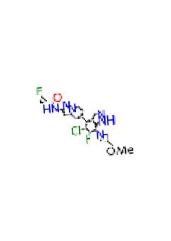 COCC1CN(c2c(F)c(Cl)c(-c3ccn4nc(NC(=O)[C@@H]5C[C@@H]5F)cc4c3)c3cn[nH]c23)C1